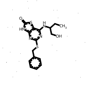 CCC(CO)Nc1nc(SCc2ccccc2)nc2[nH]c(=O)sc12